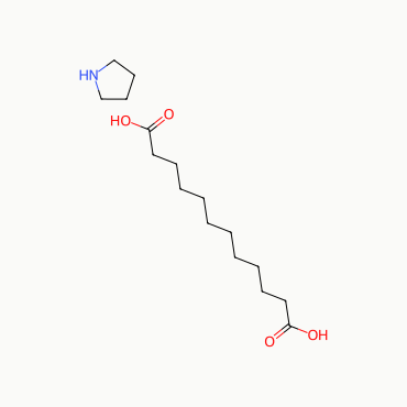 C1CCNC1.O=C(O)CCCCCCCCCCC(=O)O